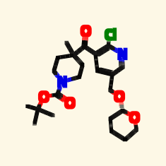 CC(C)(C)OC(=O)N1CCC(C)(C(=O)c2cc(CO[C@H]3CCCCO3)cnc2Cl)CC1